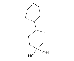 OC1(O)CCC(C2CCCCC2)CC1